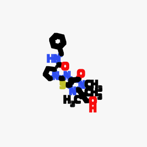 Cn1c(C(C)(C)CO)nc2sc(N3CCC[C@@H]3C(=O)NCc3ccccc3)nc2c1=O